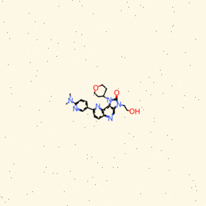 CN(C)c1ccc(-c2ccc3ncc4c(c3n2)n(C2CCOCC2)c(=O)n4CCO)cn1